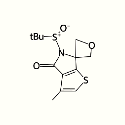 Cc1csc2c1C(=O)N([S+]([O-])C(C)(C)C)C21COC1